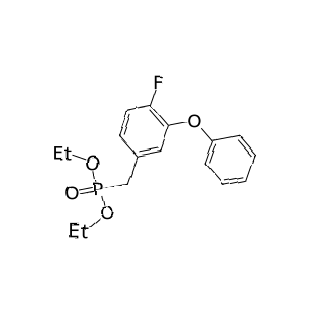 CCOP(=O)(Cc1ccc(F)c(Oc2ccccc2)c1)OCC